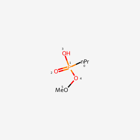 CCCP(=O)(O)OOC